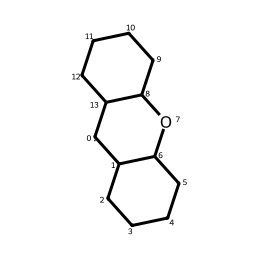 [CH]1C2CCCCC2OC2CCCCC12